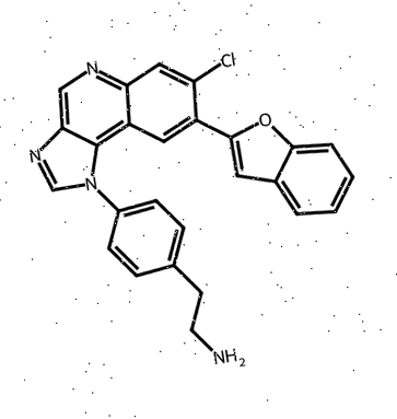 NCCc1ccc(-n2cnc3cnc4cc(Cl)c(-c5cc6ccccc6o5)cc4c32)cc1